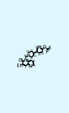 CCc1cc2ncccc2n(CN2CC=C(c3ccc(OC(F)F)nc3)CC2)c1=O